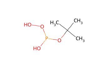 CC(C)(C)OP(O)OO